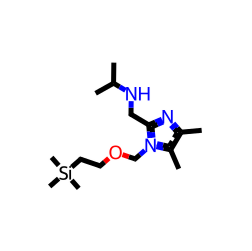 Cc1nc(CNC(C)C)n(COCC[Si](C)(C)C)c1C